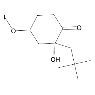 CC(C)(C)C[C@@]1(O)CC(OI)CCC1=O